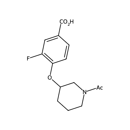 CC(=O)N1CCCC(Oc2ccc(C(=O)O)cc2F)C1